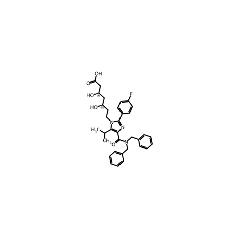 CC(C)c1c(C(=O)N(Cc2ccccc2)Cc2ccccc2)nc(-c2ccc(F)cc2)n1CC[C@@H](O)C[C@@H](O)CC(=O)O